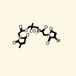 CC1=CC(=O)N(CC(=O)OCC(C)(COC(=O)CN2C(=O)C=C(Br)C2=O)C(=O)O)C1=O